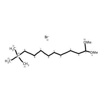 COC(CCCCCCCC[P+](C)(C)C)OC.[Br-]